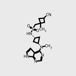 CN(c1ncnc2[nH]ccc12)[C@H]1C[C@@H](NS(=O)(=O)CC2(C)CC(C#N)C2)C1